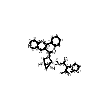 Cc1nc2sccn2c1C(=O)NC[C@@H]1[C@H]2C[C@H]2CN1C(=O)c1cc2cnccc2nc1-c1ccccc1